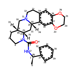 C[C@@H](NC(=O)N1CCC[C@@H]2CN3CCc4cc5c(cc4[C@@H]3C[C@@H]21)OCCO5)c1ccccc1